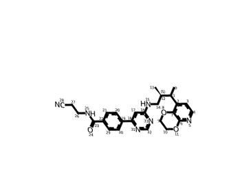 CC(c1ccnc2c1OCCO2)[C@H](C)CNc1cc(-c2ccc(C(=O)NCCC#N)cc2)ncn1